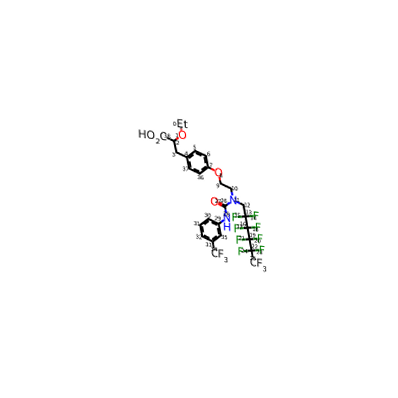 CCOC(Cc1ccc(OCCN(CC(F)(F)C(F)(F)C(F)(F)C(F)(F)C(F)(F)F)C(=O)Nc2cccc(C(F)(F)F)c2)cc1)C(=O)O